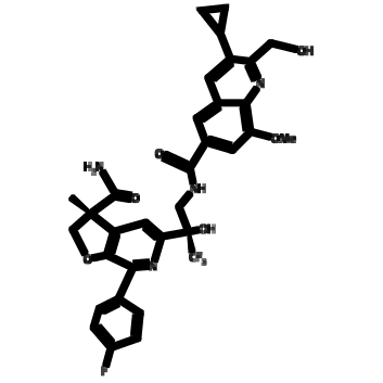 COc1cc(C(=O)NC[C@](O)(c2cc3c(c(-c4ccc(F)cc4)n2)OC[C@]3(C)C(N)=O)C(F)(F)F)cc2cc(C3CC3)c(CO)nc12